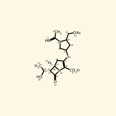 CC(=N)N1CC(SC2=C(C(=O)O)N3C(=O)[C@H](C(C)O)[C@H]3C2)CC1COC(C)=O